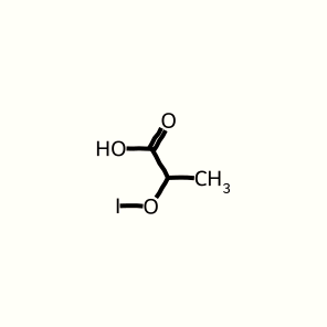 CC(OI)C(=O)O